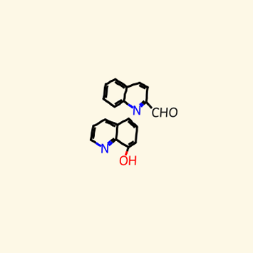 O=Cc1ccc2ccccc2n1.Oc1cccc2cccnc12